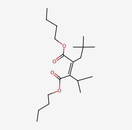 CCCCOC(=O)/C(CC(C)(C)C)=C(\C(=O)OCCCC)C(C)C